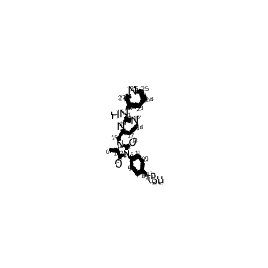 C=C1C(=O)N(c2ccc(C(C)(C)C)cc2)C(=O)N1Cc1ccnc(Nc2cccnc2)n1